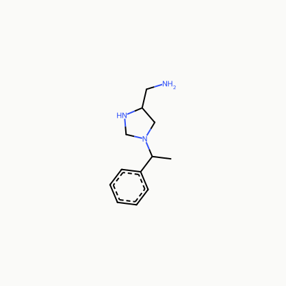 CC(c1ccccc1)N1CNC(CN)C1